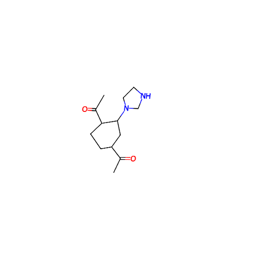 CC(=O)C1CCC(C(C)=O)C(N2CCNC2)C1